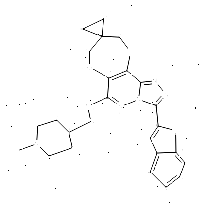 CN1CCC(CNc2nn3c(-c4cc5ccccc5o4)nnc3c3c2OCC2(CC2)CO3)CC1